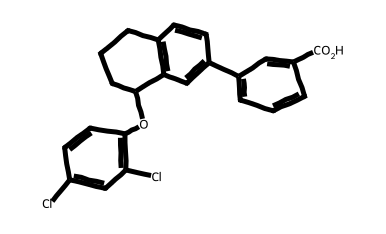 O=C(O)c1cccc(-c2ccc3c(c2)C(Oc2ccc(Cl)cc2Cl)CCC3)c1